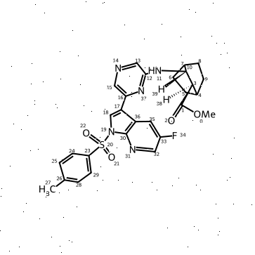 COC(=O)[C@@H]1C2CCC(CC2)[C@H]1Nc1cncc(-c2cn(S(=O)(=O)c3ccc(C)cc3)c3ncc(F)cc23)n1